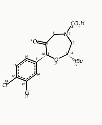 CC(C)(C)[C@H]1CN(C(=O)O)CC(=O)[C@@H](c2ccc(Cl)c(Cl)c2)O1